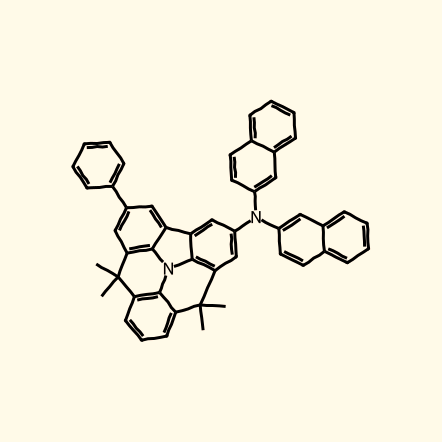 CC1(C)c2cccc3c2-n2c4c1cc(-c1ccccc1)cc4c1cc(N(c4ccc5ccccc5c4)c4ccc5ccccc5c4)cc(c12)C3(C)C